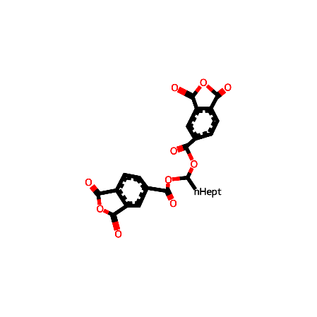 CCCCCCCC(OC(=O)c1ccc2c(c1)C(=O)OC2=O)OC(=O)c1ccc2c(c1)C(=O)OC2=O